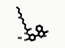 CCCCNCCCCC(=O)Nc1cc(-c2n[nH]c(=O)c3ccccc23)ccc1Cl.Cl